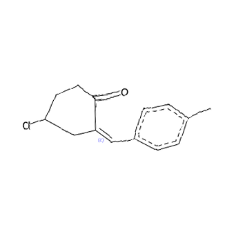 Cc1ccc(/C=C2/CC(Cl)CCC2=O)cc1